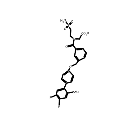 CSc1cc(F)c(F)cc1-c1ccc(OCc2cccc(C(=O)N(CCS(N)(=O)=O)CC(=O)O)c2)cc1